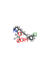 C[C@H](CC(=O)O)CC(=O)c1ncccc1CCCCCCc1cccc(Cl)c1